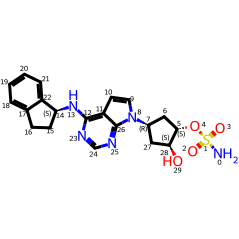 NS(=O)(=O)O[C@H]1C[C@H](n2ccc3c(N[C@H]4CCc5ccccc54)ncnc32)C[C@@H]1O